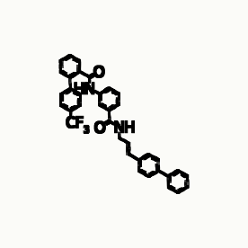 O=C(NCC=Cc1ccc(-c2ccccc2)cc1)c1cccc(NC(=O)c2ccccc2-c2ccc(C(F)(F)F)cc2)c1